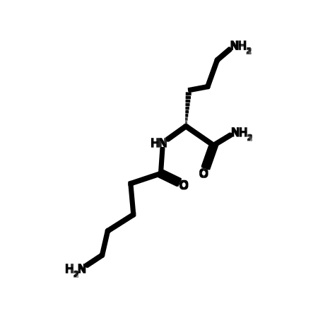 NCCCCC(=O)N[C@H](CCCN)C(N)=O